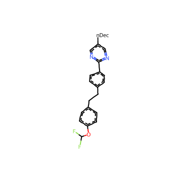 CCCCCCCCCCc1cnc(-c2ccc(CCc3ccc(OC(F)F)cc3)cc2)nc1